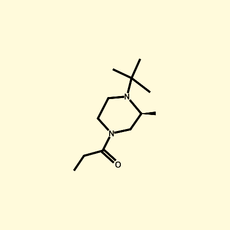 CCC(=O)N1CCN(C(C)(C)C)[C@@H](C)C1